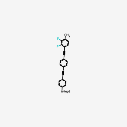 CCCCCCCc1ccc(C#Cc2ccc(C#Cc3ccc(C)c(F)c3F)cc2)cc1